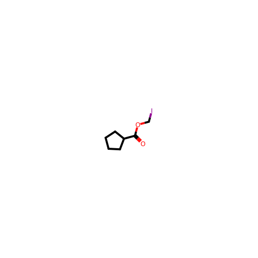 O=C(OCI)C1CCCC1